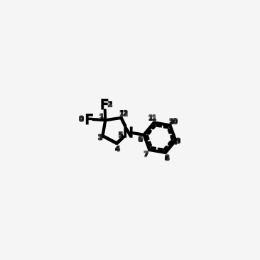 FC1(F)CCN(c2cc[c]cc2)C1